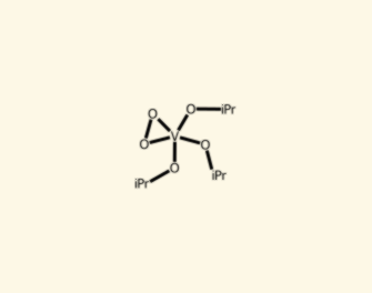 CC(C)[O][V]1([O]C(C)C)([O]C(C)C)[O][O]1